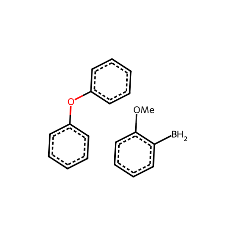 Bc1ccccc1OC.c1ccc(Oc2ccccc2)cc1